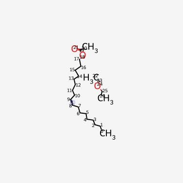 CCCCCCCC/C=C\CCCCCCCCOC(C)=O.CCOCC